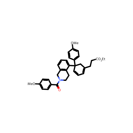 CCOC(=O)CCC1=CC=CC(c2ccc(OC)cc2)(c2cccc3c2CCN(C(=O)c2ccc(OC)cc2)C3)C1